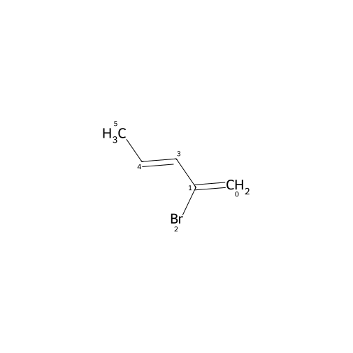 C=C(Br)C=CC